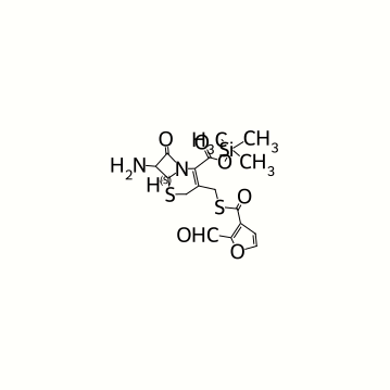 C[Si](C)(C)OC(=O)C1=C(CSC(=O)c2ccoc2C=O)CS[C@H]2C(N)C(=O)N12